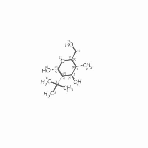 C[C@@H]1[C@@H](O)[C@H](C(C)(C)C)[C@H](O)O[C@H]1CO